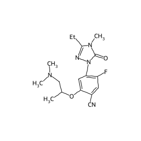 CCc1nn(-c2cc(OC(C)CN(C)C)c(C#N)cc2F)c(=O)n1C